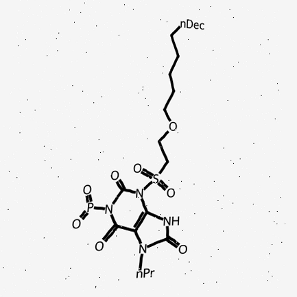 CCCCCCCCCCCCCCCOCCS(=O)(=O)n1c(=O)n(P(=O)=O)c(=O)c2c1[nH]c(=O)n2CCC